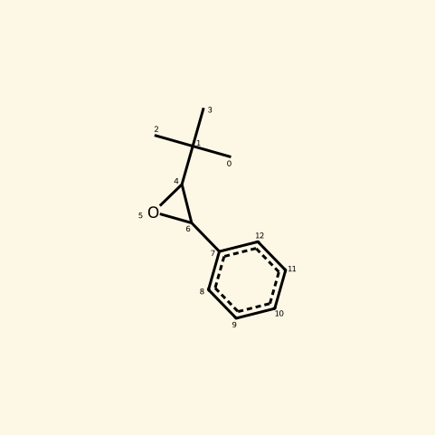 CC(C)(C)C1OC1c1ccccc1